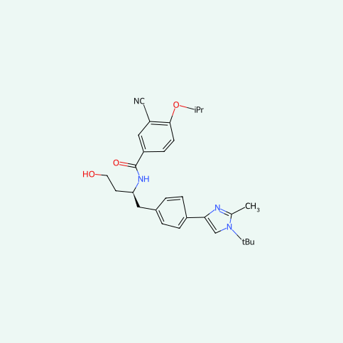 Cc1nc(-c2ccc(C[C@@H](CCO)NC(=O)c3ccc(OC(C)C)c(C#N)c3)cc2)cn1C(C)(C)C